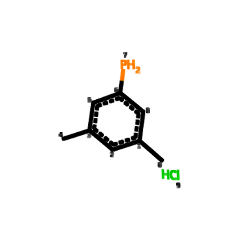 Cc1cc(C)cc(P)c1.Cl